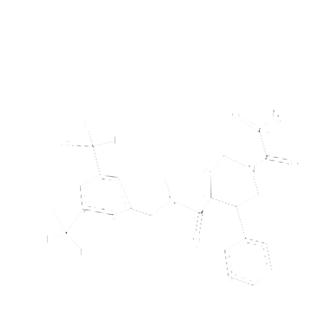 CN(Cc1cc(C(F)(F)F)cc(C(F)(F)F)c1)C(=O)C1CCN(C(=O)C(N)=O)CC1c1ccccc1